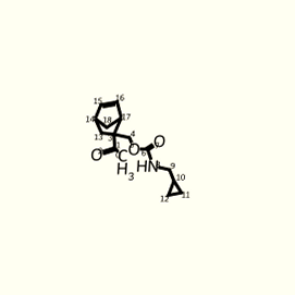 CC(=O)C1(COC(=O)NCC2CC2)CC2C=CC1C2